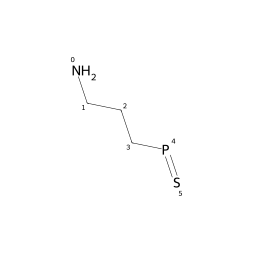 NCCCP=S